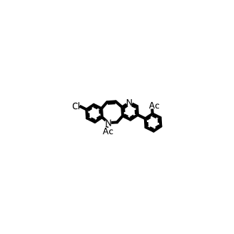 CC(=O)c1ccccc1-c1cnc2c(c1)CN(C(C)=O)c1ccc(Cl)cc1/C=C\2